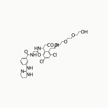 O=C(O)CC(NC(=O)CNC(=O)c1cccc(NC2=NCCCN2)c1)c1cc(Cl)cc(Cl)c1CCOCCOCCOCCO